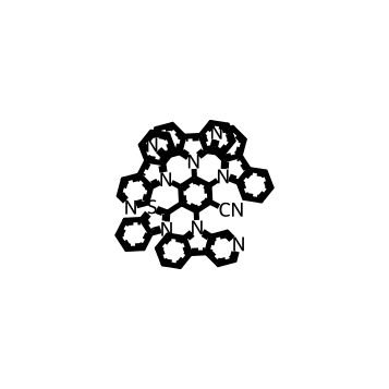 N#Cc1c(-n2c3ccccc3c3ccncc32)c(-c2nc3ccccc3s2)c(-n2c3ccccc3c3ccncc32)c(-n2c3ccccc3c3ccncc32)c1-n1c2ccccc2c2ccncc21